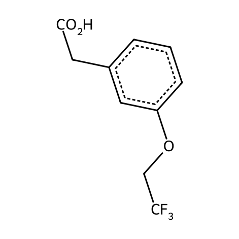 O=C(O)Cc1cccc(OCC(F)(F)F)c1